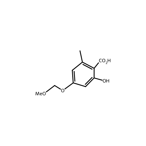 COCOc1cc(C)c(C(=O)O)c(O)c1